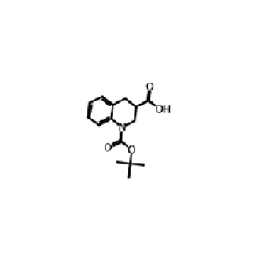 CC(C)(C)OC(=O)N1CC(C(=O)O)Cc2ccccc21